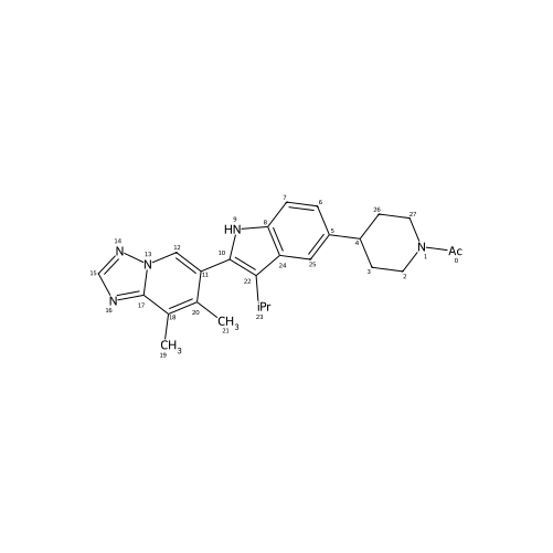 CC(=O)N1CCC(c2ccc3[nH]c(-c4cn5ncnc5c(C)c4C)c(C(C)C)c3c2)CC1